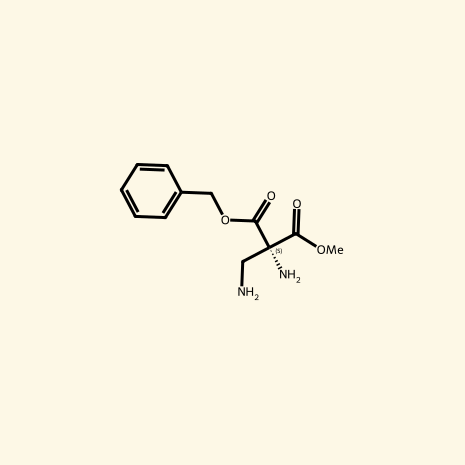 COC(=O)[C@@](N)(CN)C(=O)OCc1ccccc1